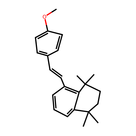 COc1ccc(C=Cc2cccc3c2C(C)(C)CCC3(C)C)cc1